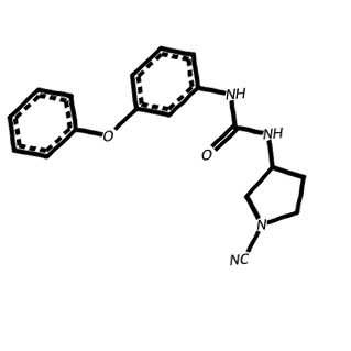 N#CN1CCC(NC(=O)Nc2cccc(Oc3ccccc3)c2)C1